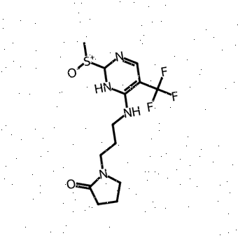 C[S+]([O-])C1N=CC(C(F)(F)F)=C(NCCCN2CCCC2=O)N1